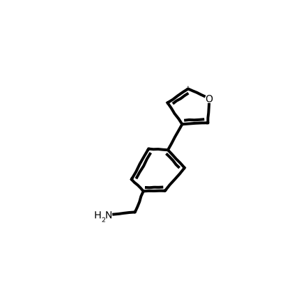 NCc1ccc(-c2c[c]oc2)cc1